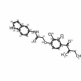 C=C(CC)C(=O)c1ccc(OCC(=O)Nc2ccc3[nH]ccc3c2)c(Cl)c1Cl